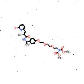 CCCC(NC(=O)/C(C#N)=C/c1cccc(Br)n1)c1ccc(OCCOCCOCCN(C(=O)OC(C)(C)C)C(=O)OC(C)(C)C)cc1